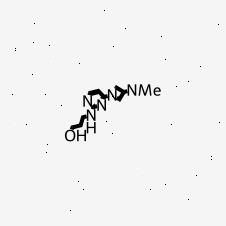 CNC1CN(c2ccnc(NCCCO)n2)C1